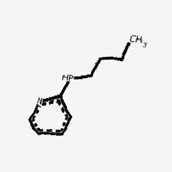 CCCCPc1ccccn1